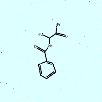 CC(C)C(=O)C(O)NC(=O)c1ccccc1